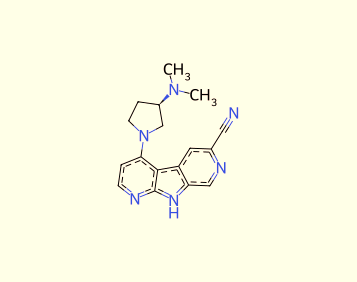 CN(C)[C@@H]1CCN(c2ccnc3[nH]c4cnc(C#N)cc4c23)C1